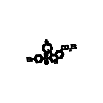 CCOC(=O)c1ccc2ncc(S(=O)(=O)c3ccc(CC)cc3)c(N3CCCN(C)CC3)c2c1